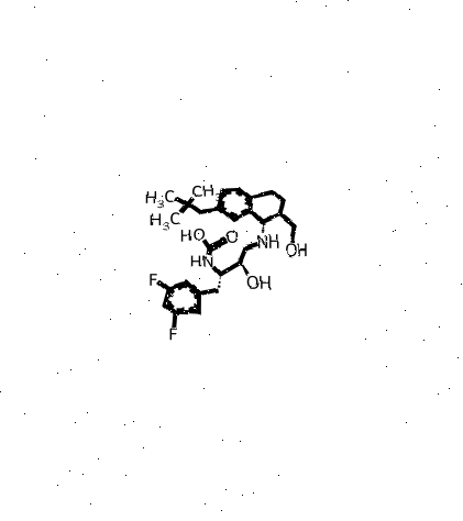 CC(C)(C)Cc1ccc2c(c1)[C@@H](NC[C@@H](O)[C@H](Cc1cc(F)cc(F)c1)NC(=O)O)C(CO)CC2